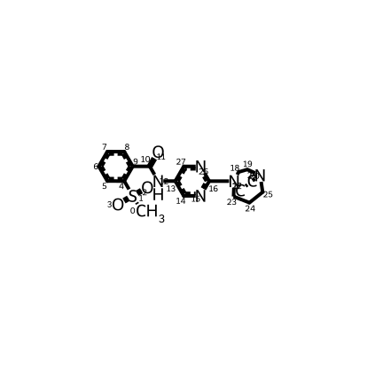 CS(=O)(=O)c1ccccc1C(=O)Nc1cnc(N2CCN3CCC2CC3)nc1